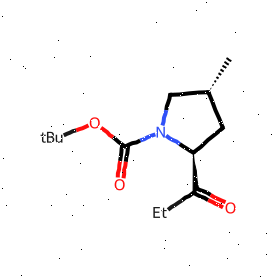 CCC(=O)[C@@H]1C[C@@H](C)CN1C(=O)OC(C)(C)C